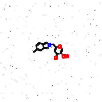 Cc1ccc2cn(Cc3cc(=O)c(O)co3)cc2c1